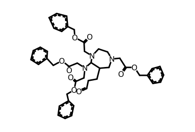 O=CCCC1CN(CC(=O)OCc2ccccc2)CCN(CC(=O)OCc2ccccc2)C1N(CC(=O)OCc1ccccc1)CC(=O)OCc1ccccc1